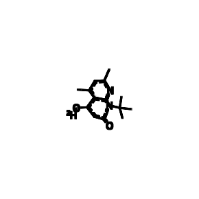 [2H]Oc1cc(=O)n(C(C)(C)C)c2nc(C)cc(C)c12